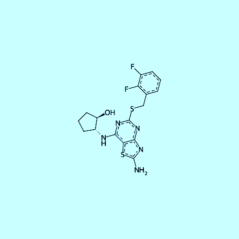 Nc1nc2nc(SCc3cccc(F)c3F)nc(N[C@@H]3CCC[C@H]3O)c2s1